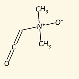 C[N+](C)([O-])C=C=O